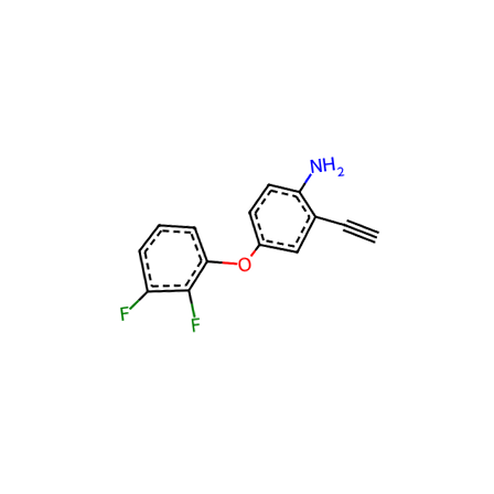 C#Cc1cc(Oc2cccc(F)c2F)ccc1N